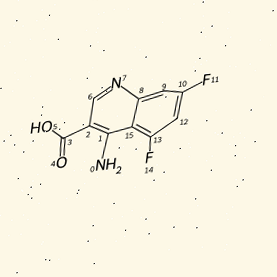 Nc1c(C(=O)O)cnc2cc(F)cc(F)c12